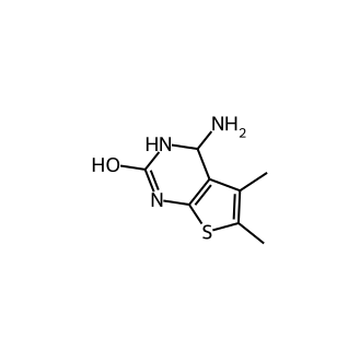 Cc1sc2c(c1C)C(N)NC(O)=N2